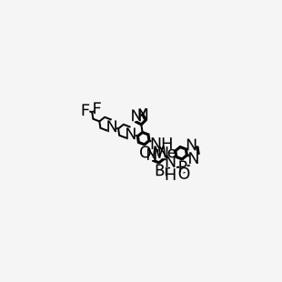 COc1cc(N2CCC(N3CCC(CC(F)F)CC3)CC2)c(-c2cnn(C)c2)cc1Nc1ncc(Br)c(Nc2ccc3nccnc3c2P(C)(C)=O)n1